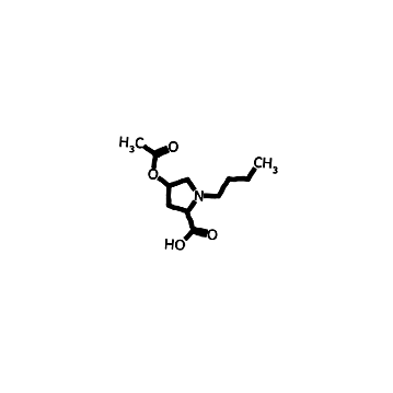 CCCCN1CC(OC(C)=O)CC1C(=O)O